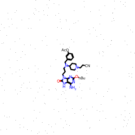 CCCCOc1nc(N)c2[nH]c(=O)n(CCCN(Cc3cccc(OC(C)=O)c3)C3CCN(CCC#N)CC3)c2n1